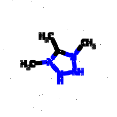 CC1N(C)NNN1C